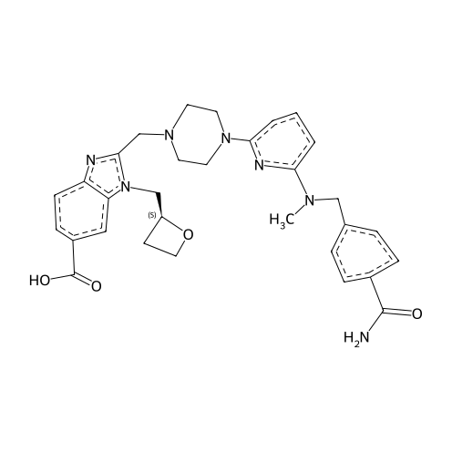 CN(Cc1ccc(C(N)=O)cc1)c1cccc(N2CCN(Cc3nc4ccc(C(=O)O)cc4n3C[C@@H]3CCO3)CC2)n1